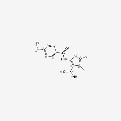 Cc1sc(NC(=O)c2ccc(OC(C)C)cc2)c(C(N)=O)c1C